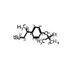 CCC(C)(C)Oc1ccc(C(C)CC(C)(C)C)cc1